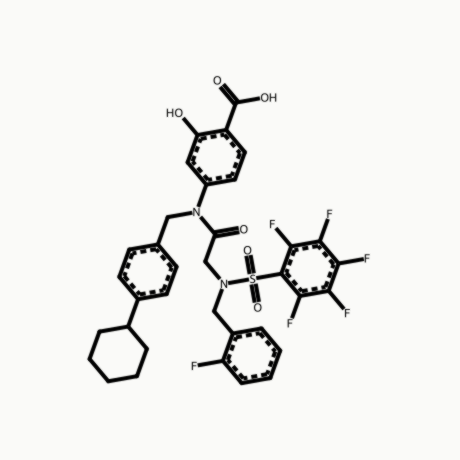 O=C(O)c1ccc(N(Cc2ccc(C3CCCCC3)cc2)C(=O)CN(Cc2ccccc2F)S(=O)(=O)c2c(F)c(F)c(F)c(F)c2F)cc1O